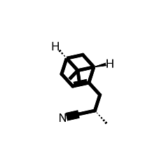 C[C@H](C#N)CC1=CC[C@H]2C[C@H]1C2(C)C